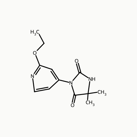 CCOc1cc(N2C(=O)NC(C)(C)C2=O)ccn1